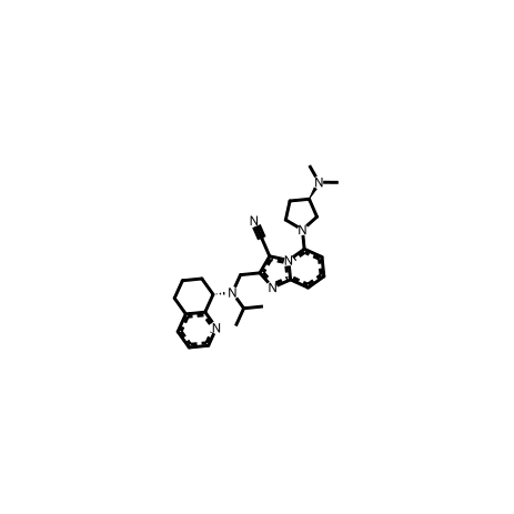 CC(C)N(Cc1nc2cccc(N3CC[C@@H](N(C)C)C3)n2c1C#N)[C@H]1CCCc2cccnc21